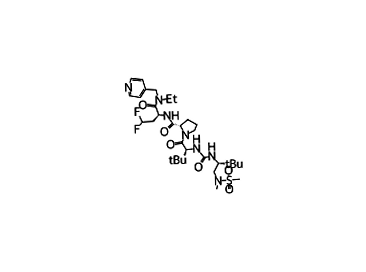 CCN(Cc1ccncc1)C(=O)[C@H](CC(F)F)NC(=O)[C@@H]1CCCN1C(=O)[C@@H](NC(=O)N[C@H](CN(C)S(C)(=O)=O)C(C)(C)C)C(C)(C)C